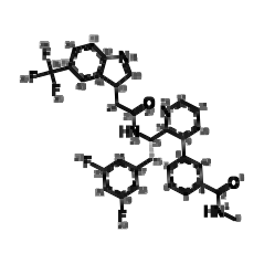 CNC(=O)c1cccc(-c2cccnc2[C@H](Cc2cc(F)cc(F)c2)NC(=O)CC2C=Nc3ccc(C(F)(F)F)cc32)c1